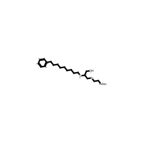 CCCCCCCCCCCCSCC(CO)OCCCCCCCCCc1ccccc1